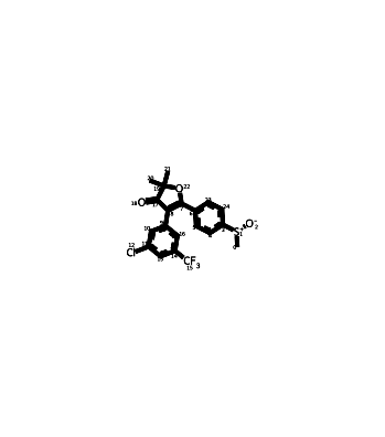 C[S+]([O-])c1ccc(C2=C(c3cc(Cl)cc(C(F)(F)F)c3)C(=O)C(C)(C)O2)cc1